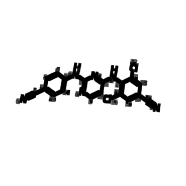 N#Cc1ccc(Nc2nccc(Nc3c(Cl)cc(C#N)cc3Cl)n2)cc1